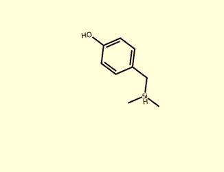 C[SiH](C)Cc1ccc(O)cc1